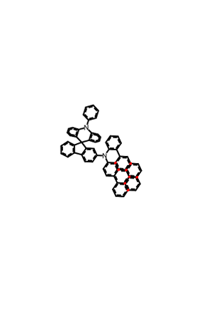 c1ccc(-c2ccc(-c3ccccc3N(c3ccc4c(c3)C3(c5ccccc5-4)c4ccccc4N(c4ccccc4)c4ccccc43)c3ccc4c5ccccc5c5ccccc5c4c3)cc2)cc1